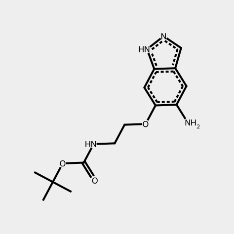 CC(C)(C)OC(=O)NCCOc1cc2[nH]ncc2cc1N